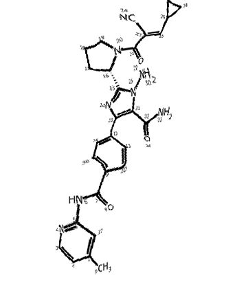 Cc1ccnc(NC(=O)c2ccc(-c3nc([C@@H]4CCCN4C(=O)/C(C#N)=C/C4CC4)n(N)c3C(N)=O)cc2)c1